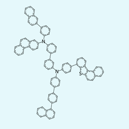 c1cc(-c2cccc(N(c3cccc(-c4ccc5ccccc5c4)c3)c3ccc4c(ccc5ccccc54)c3)c2)cc(N(c2ccc(-c3ccc(-c4cccc5ccccc45)cc3)cc2)c2ccc(-c3cccc4c3sc3ccc5ccccc5c34)cc2)c1